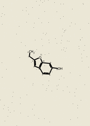 [CH2]Cc1cc2ccc(O)cc2o1